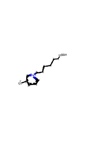 CCCCCCCCCCCCCCC[n+]1cccc(CC)c1